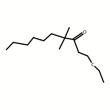 CCCCCCC(C)(C)C(=O)CCCCC